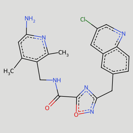 Cc1cc(N)nc(C)c1CNC(=O)c1nc(Cc2ccc3ncc(Cl)cc3c2)no1